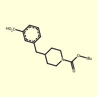 CC(C)(C)OC(=O)N1CCC(Cc2cccc(C(=O)O)c2)CC1